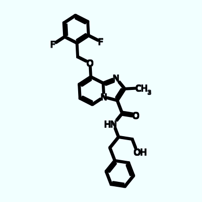 Cc1nc2c(OCc3c(F)cccc3F)cccn2c1C(=O)NC(CO)Cc1ccccc1